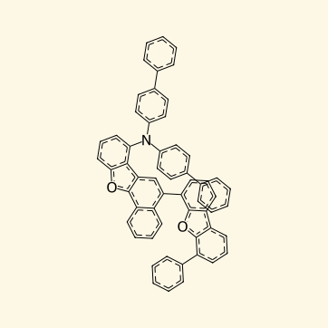 c1ccc(-c2ccc(N(c3ccc(-c4ccccc4)cc3)c3cccc4oc5c6ccccc6c(-c6cccc7c6oc6c(-c8ccccc8)cccc67)cc5c34)cc2)cc1